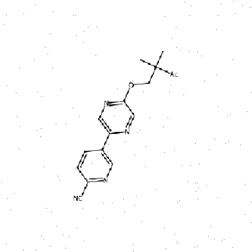 CC(=O)C(C)(C)COc1cnc(-c2ccc(C#N)nc2)cn1